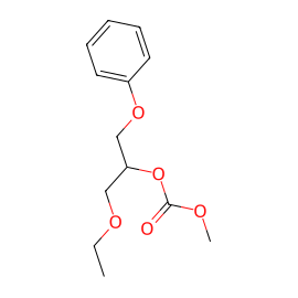 CCOCC(COc1ccccc1)OC(=O)OC